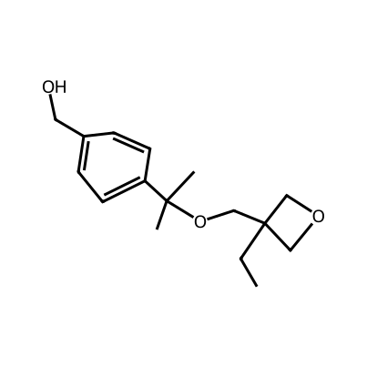 CCC1(COC(C)(C)c2ccc(CO)cc2)COC1